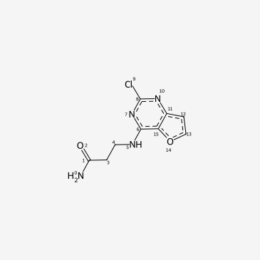 NC(=O)CCNc1nc(Cl)nc2ccoc12